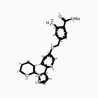 COC(=O)c1ccc(COc2ccc(-c3ccnn3C3CCCCO3)nc2)cc1C